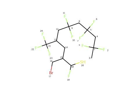 CC(F)(F)CC(F)(F)CC(F)(F)CC(CC(CBr)C(F)S)C(F)(F)F